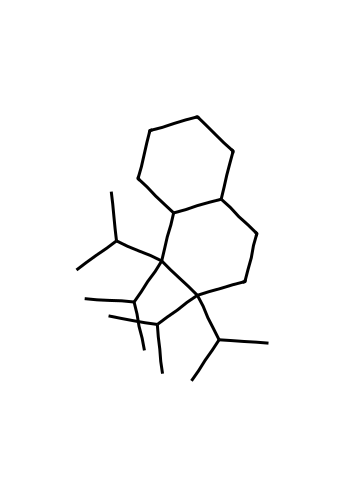 CC(C)C1(C(C)C)CCC2CCCCC2C1(C(C)C)C(C)C